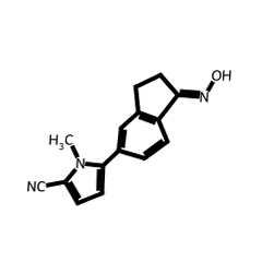 Cn1c(C#N)ccc1-c1ccc2c(c1)CCC2=NO